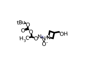 CC(O/N=[N+](\[O-])N1CC(CO)C1)OC(=O)OC(C)(C)C